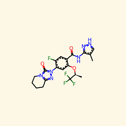 Cc1c[nH]nc1NC(=O)c1cc(F)c(-n2nc3n(c2=O)CCCC3)cc1O[C@@H](C)C(F)(F)F